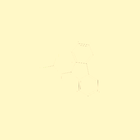 ClC(Cl)[SiH2]C1c2ccccc2-c2ccccc21